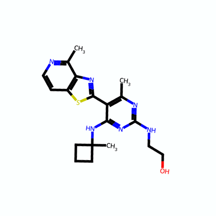 Cc1nc(NCCO)nc(NC2(C)CCC2)c1-c1nc2c(C)nccc2s1